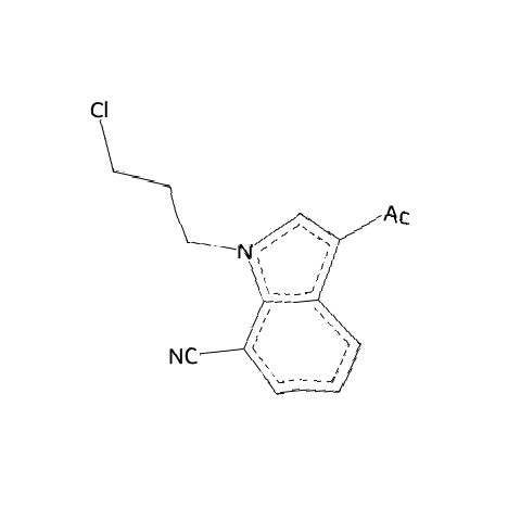 CC(=O)c1cn(CCCCl)c2c(C#N)cccc12